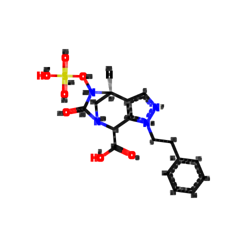 O=C(O)C1c2c(cnn2CCc2ccccc2)[C@H]2CN1C(=O)N2OS(=O)(=O)O